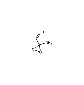 C=CC1(N)OO1